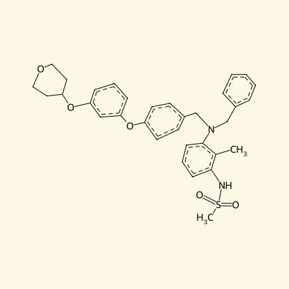 Cc1c(NS(C)(=O)=O)cccc1N(Cc1ccccc1)Cc1ccc(Oc2cccc(OC3CCOCC3)c2)cc1